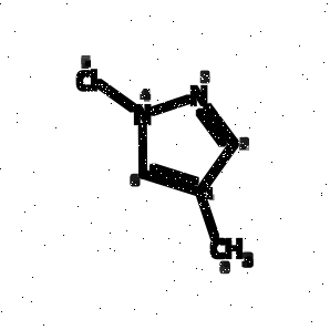 Cc1cnn(Cl)c1